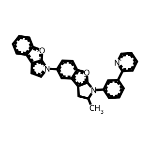 CC1Cc2c(oc3ccc(-n4ccc5c6ccccc6oc54)cc23)N1c1cccc(-c2ccccn2)c1